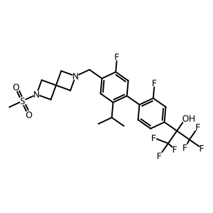 CC(C)c1cc(CN2CC3(C2)CN(S(C)(=O)=O)C3)c(F)cc1-c1ccc(C(O)(C(F)(F)F)C(F)(F)F)cc1F